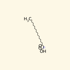 CCCCCCCCCCCCCCCCC(=O)/C=C\C(=O)O